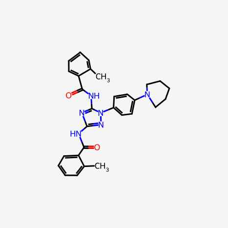 Cc1ccccc1C(=O)Nc1nc(NC(=O)c2ccccc2C)n(-c2ccc(N3CCCCC3)cc2)n1